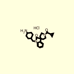 Cl.NC1CCC(CN2C(=O)C3(CCN(C(=O)C4CC4)CC3)c3ccccc32)CC1